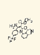 COC(=O)c1c(N)c2ccc(C(F)(F)F)cc2n(-c2cccc3cnccc23)c1=O